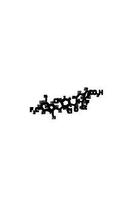 CCC1N(C(=O)c2ccc(Cl)c(Cc3cc4c(C)cc(C(F)(F)F)cc4n3C)c2Cl)CCC(CC(=O)O)C1(F)F